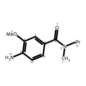 COc1cc(C(=O)N(C)C(C)C)ccc1N